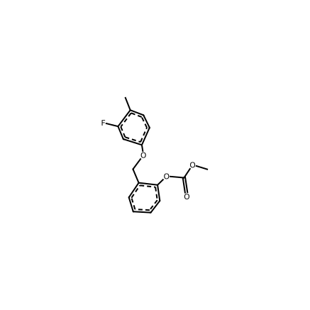 COC(=O)Oc1ccccc1COc1ccc(C)c(F)c1